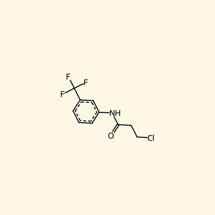 O=C(CCCl)Nc1cccc(C(F)(F)F)c1